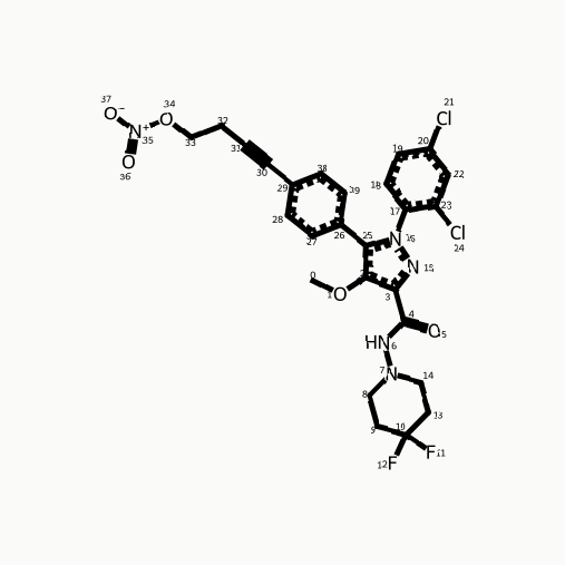 COc1c(C(=O)NN2CCC(F)(F)CC2)nn(-c2ccc(Cl)cc2Cl)c1-c1ccc(C#CCCO[N+](=O)[O-])cc1